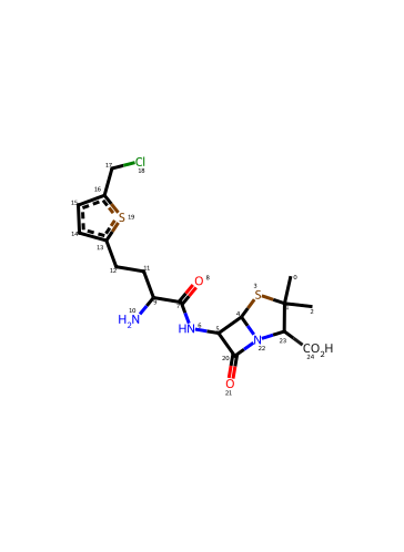 CC1(C)SC2C(NC(=O)C(N)CCc3ccc(CCl)s3)C(=O)N2C1C(=O)O